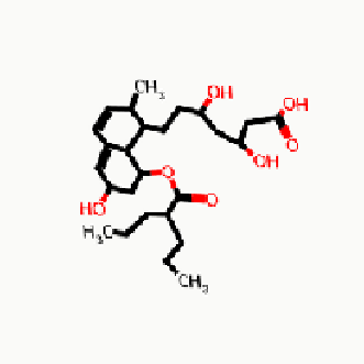 CCCC(CCC)C(=O)OC1CC(O)C=C2C=CC(C)C(CCC(O)CC(O)CC(=O)O)C21